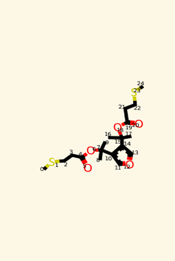 CSCCC(=O)OC(C)(C)c1cocc1C(C)(C)OC(=O)CCSC